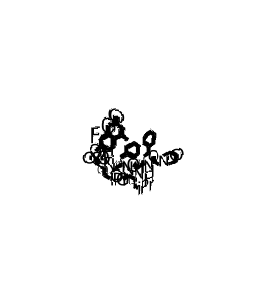 Cc1cc(=O)oc2c(F)c(OS(=O)(=O)C[C@H](CC(C)C)NC(=O)[C@H](Cc3ccccc3)NC(=O)[C@H](CC(C)C)NC(=O)[C@H](CCc3ccccc3)NC(=O)CN3CCOCC3)c(F)cc12